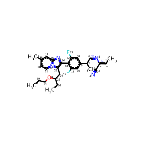 C/C=C(C#N)\N=C/C(C)c1cc(F)c(-c2nc3cc(C)ccn3c2CC(CC)OCCC)c(F)c1